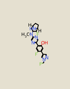 CN(c1cnc(-c2cc(F)c(-c3cnn(CF)c3)cc2O)cn1)C1C[C@H]2CC[C@H](N2)C1F